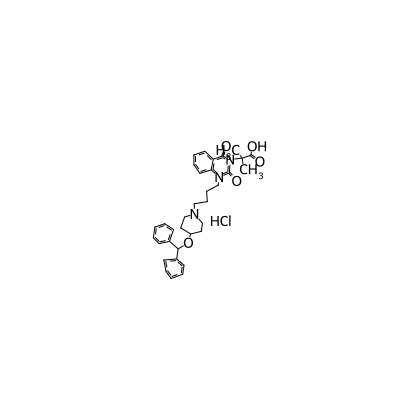 CC(C)(C(=O)O)n1c(=O)c2ccccc2n(CCCCN2CCC(OC(c3ccccc3)c3ccccc3)CC2)c1=O.Cl